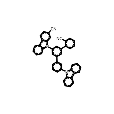 N#Cc1ccc2c3ccccc3n(-c3cc(-c4cccc(-n5c6ccccc6c6ccccc65)c4)cc(-c4ccccc4C#N)c3)c2c1